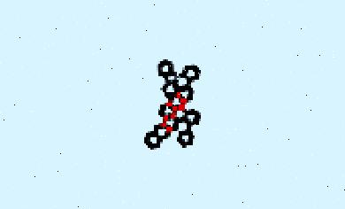 c1ccc(-c2ccccc2-c2c(-c3ccccc3)cccc2N(c2ccc(-c3ccccc3-n3c4ccccc4c4ccccc43)cc2)c2cccc(-c3ccc4ccccc4c3)c2)cc1